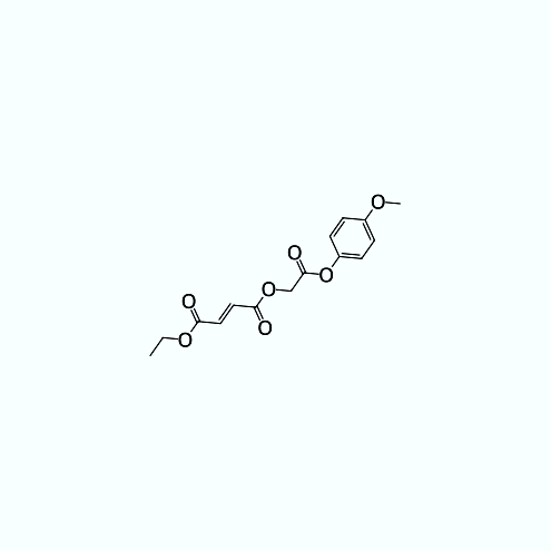 CCOC(=O)C=CC(=O)OCC(=O)Oc1ccc(OC)cc1